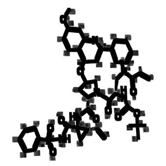 C=CC(=O)N(C)C[C@H](NC(=O)OC(C)(C)C)C(=O)N1CC(Oc2cc(-c3ccccc3)nc3cc(OC)ccc23)C[C@H]1C(=O)N[C@]1(C(=O)NS(=O)(=O)c2ccccc2)C[C@H]1C=C